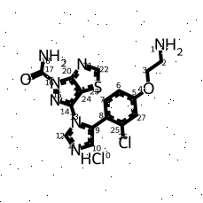 Cl.NCCOc1ccc(-c2cncn2-c2nn(C(N)=O)c3n[c]sc23)c(Cl)c1